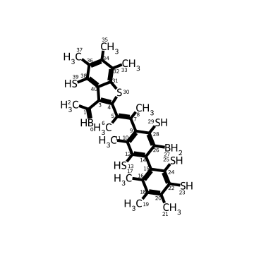 B=C(C)c1c(/C(C)=C(\C)c2c(C)c(S)c(-c3c(C)c(C)c(C)c(S)c3S)c(B)c2S)sc2c(C)c(C)c(C)c(S)c12